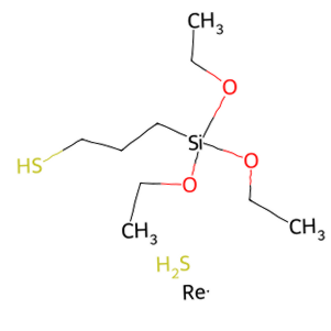 CCO[Si](CCCS)(OCC)OCC.S.[Re]